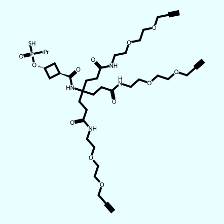 C#CCOCCOCCNC(=O)CCC(CCC(=O)NCCOCCOCC#C)(CCC(=O)NCCOCCOCC#C)NC(=O)[C@H]1C[C@H](OP(=O)(S)C(C)C)C1